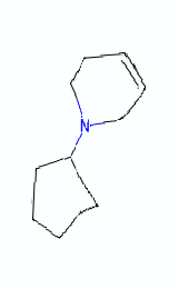 C1=CCN(C2CCCC2)CC1